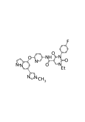 CCn1cc(C(=O)Nc2ccc(Oc3cc(-c4cn(C)cn4)cn4nccc34)nc2)c(=O)n(-c2ccc(F)cc2)c1=O